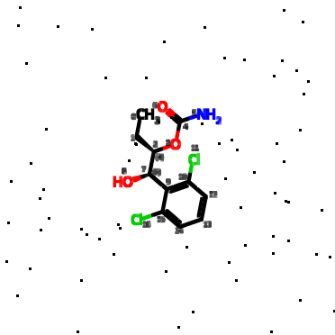 CC[C@@H](OC(N)=O)[C@H](O)c1c(Cl)cccc1Cl